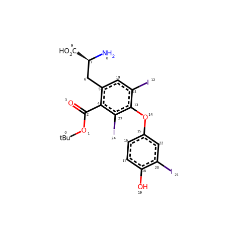 CC(C)(C)OC(=O)c1c(C[C@H](N)C(=O)O)cc(I)c(Oc2ccc(O)c(I)c2)c1I